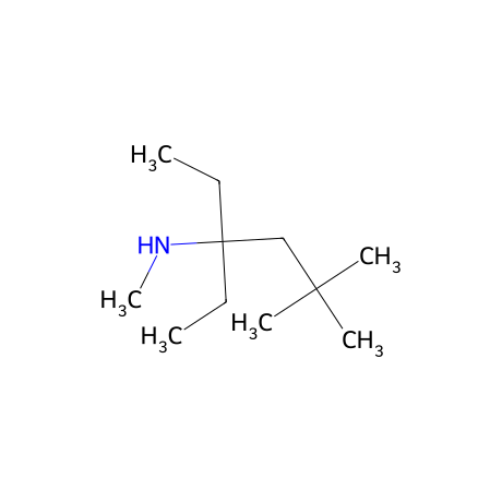 CCC(CC)(CC(C)(C)C)NC